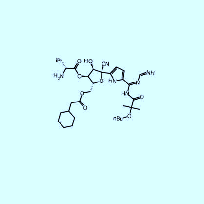 CCCCOC(C)(C)C(=O)N/C(=N/C=N)c1ccc([C@]2(C#N)O[C@H](COC(=O)CC3CCCCC3)[C@@H](OC(=O)[C@H](N)C(C)C)[C@H]2O)[nH]1